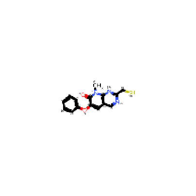 Cn1c(=O)c(Oc2ccccc2)cc2cnc(CS)nc21